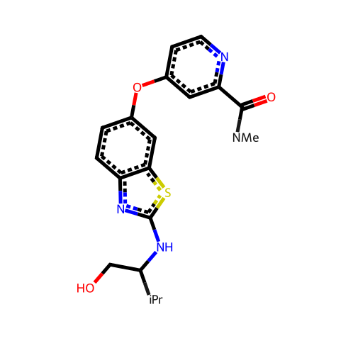 CNC(=O)c1cc(Oc2ccc3nc(NC(CO)C(C)C)sc3c2)ccn1